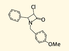 COc1ccc(CN2C(=O)C(Cl)C2c2ccccc2)cc1